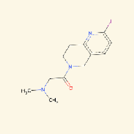 CN(C)CC(=O)N1CCc2nc(I)ccc2C1